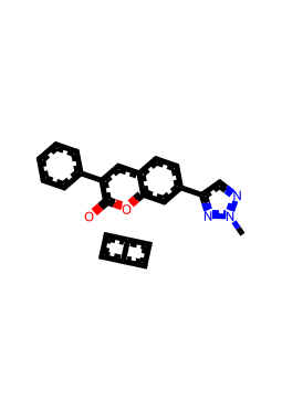 Cn1ncc(-c2ccc3cc(-c4ccccc4)c(=O)oc3c2)n1.c1cc2ccc1-2